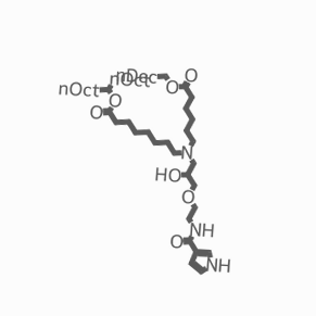 CCCCCCCCCCCOC(=O)CCCCCN(CCCCCCCC(=O)OC(CCCCCCCC)CCCCCCCC)CC(O)COCCNC(=O)c1cc[nH]c1